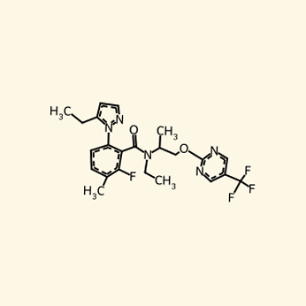 CCc1ccnn1-c1ccc(C)c(F)c1C(=O)N(CC)C(C)COc1ncc(C(F)(F)F)cn1